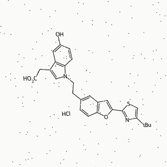 CC(C)(C)c1csc(-c2cc3cc(CCn4cc(CC(=O)O)c5cc(O)ccc54)ccc3o2)n1.Cl